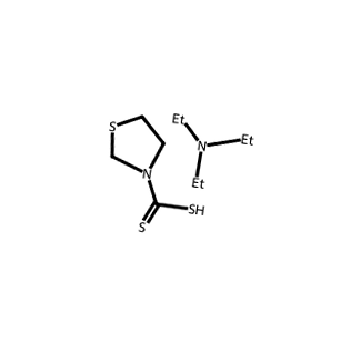 CCN(CC)CC.S=C(S)N1CCSC1